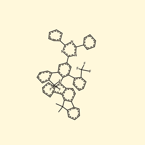 CC1(C)c2ccccc2-c2ccc3c(c21)c1ccccc1n3-c1c(-c2ccccc2C(F)(F)F)cc(-c2nc(-c3ccccc3)nc(-c3ccccc3)n2)cc1-c1ccccc1C(F)(F)F